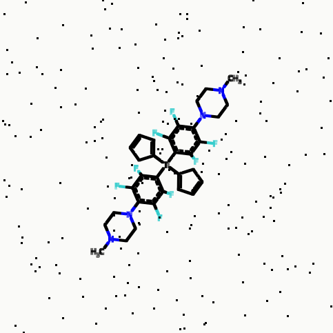 CN1CCN(c2c(F)c(F)[c]([Ti]([C]3=CC=CC3)([C]3=CC=CC3)[c]3c(F)c(F)c(N4CCN(C)CC4)c(F)c3F)c(F)c2F)CC1